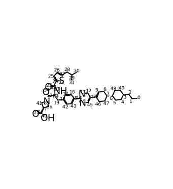 CCC[C@H]1CC[C@H](C2CC=C(c3cnc(-c4ccc(C[C@H](NC(=O)c5ccc(CC(C)C)s5)C(=O)N5CC(C(=O)O)C5)cc4)nc3)CC2)CC1